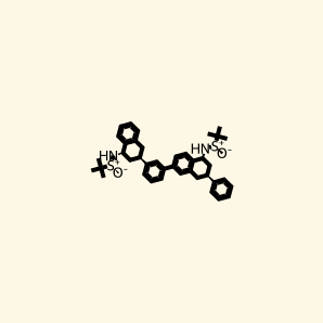 CC(C)(C)[S@@+]([O-])N[C@H]1C[C@H](c2cccc(-c3ccc4c(c3)C[C@H](c3ccccc3)C[C@@H]4N[S@+]([O-])C(C)(C)C)c2)Cc2ccccc21